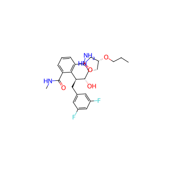 CCCO[C@H]1CN[C@@H]([C@H](O)[C@@H](Cc2cc(F)cc(F)c2)c2c(C(N)=O)cccc2C(=O)NC)C1